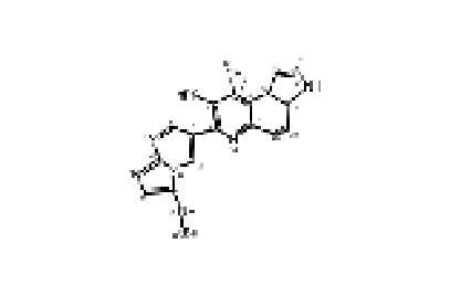 CCCc1c(-c2cnc3ncc(NC(C)(C)C)n3c2)nc2c(c1C)C1C=NNC1C=C2